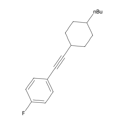 CCCCC1CCC(C#Cc2ccc(F)cc2)CC1